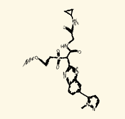 COCCS(=O)(=O)C(C(=O)NCC(=O)NC1CC1)c1nc2ccc(-c3ccnn3C)cc2s1